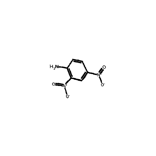 Nc1[c]cc([N+](=O)[O-])cc1[N+](=O)[O-]